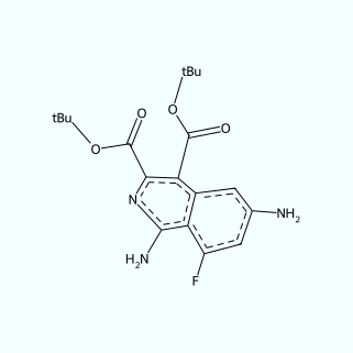 CC(C)(C)OC(=O)c1nc(N)c2c(F)cc(N)cc2c1C(=O)OC(C)(C)C